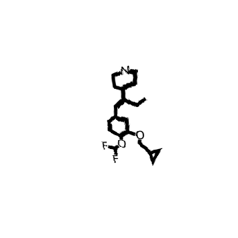 CC/C(=C\c1ccc(OC(F)F)c(OCC2CC2)c1)C1=CC=NCC1